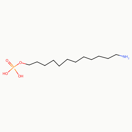 NCCCCCCCCCCCCOP(=O)(O)O